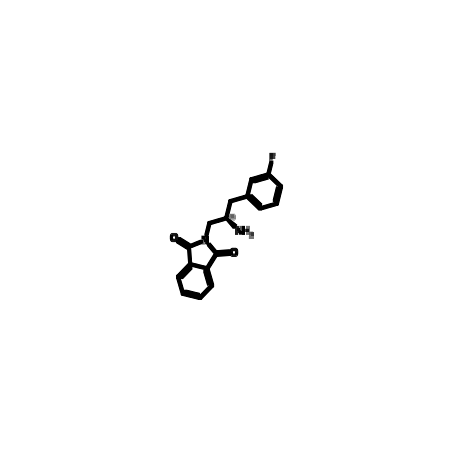 N[C@H](Cc1cccc(F)c1)CN1C(=O)c2ccccc2C1=O